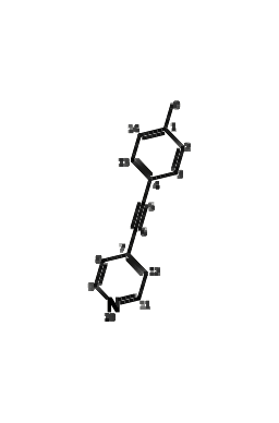 Cc1ccc(C#Cc2ccncc2)cc1